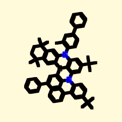 Cc1cc(-c2ccccc2)ccc1N1c2cc3c(cc2B2c4cc(-c5ccccc5)ccc4N(c4ccc(C(C)(C)C)cc4-c4ccccc4)c4cc(C(C)(C)C)cc1c42)C(C)(C)CCC3(C)C